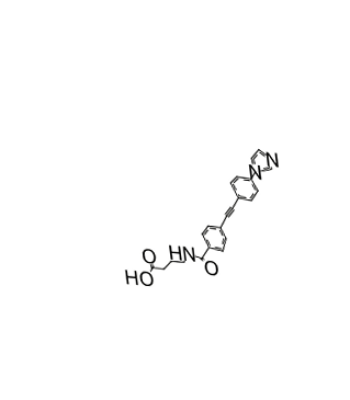 O=C(O)CCCNC(=O)c1ccc(C#Cc2ccc(-n3ccnc3)cc2)cc1